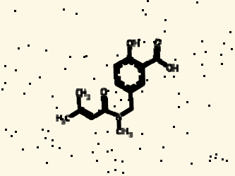 CC(C)=CC(=O)N(C)Cc1ccc(O)c(C(=O)O)c1